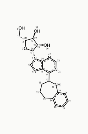 OC[C@H]1O[C@@H](n2cnc3c(C4CCCc5ccccc5N4)ncnc32)[C@H](O)[C@@H]1O